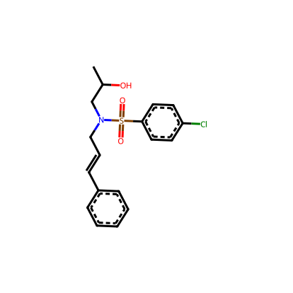 CC(O)CN(CC=Cc1ccccc1)S(=O)(=O)c1ccc(Cl)cc1